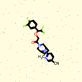 C[C@H]1CC2CN(C(=O)COC(c3ccc(F)c(F)c3)C(F)F)CC1N2c1ccc(C#N)cn1